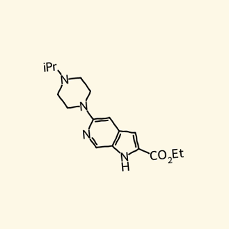 CCOC(=O)c1cc2cc(N3CCN(C(C)C)CC3)ncc2[nH]1